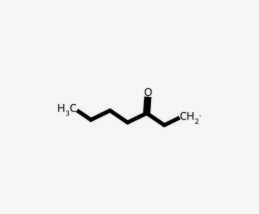 [CH2]CC(=O)CCCC